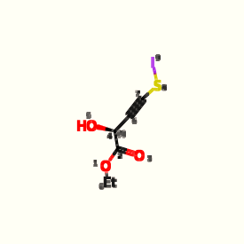 CCOC(=O)[C@@H](O)C#CSI